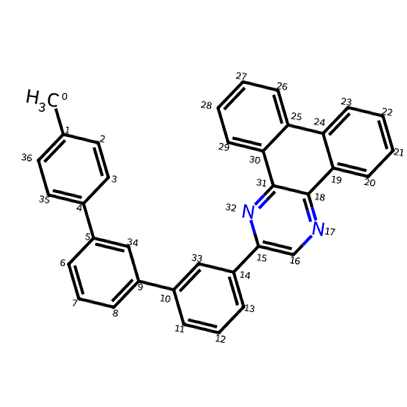 Cc1ccc(-c2cccc(-c3cccc(-c4cnc5c6ccccc6c6ccccc6c5n4)c3)c2)cc1